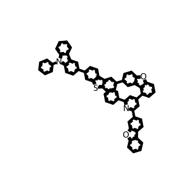 c1ccc(-c2cc(-c3cccc4oc5ccc(-c6ccc7sc8cc(-c9ccc%10c(c9)c9ccccc9n%10-c9ccccc9)ccc8c7c6)cc5c34)cc(-c3ccc4c(c3)oc3ccccc34)n2)cc1